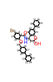 O=C(O)CC(NC(=O)c1cc(Br)ccc1OCc1ccc(-c2ccccc2)cc1)c1ccc(-c2ccccc2)cc1